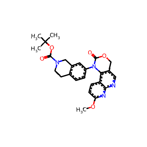 COc1ccc2c3c(cnc2n1)COC(=O)N3c1ccc2c(c1)CN(C(=O)OC(C)(C)C)CC2